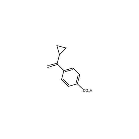 O=C(O)c1ccc(C(=O)C2CC2)cc1